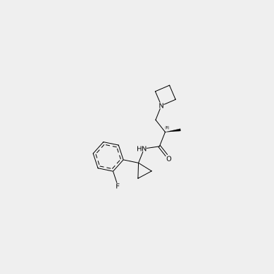 C[C@H](CN1CCC1)C(=O)NC1(c2ccccc2F)CC1